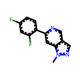 Cn1ncc2cnc(-c3ccc(F)cc3F)cc21